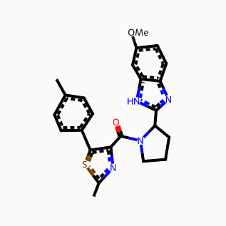 COc1ccc2nc(C3CCCN3C(=O)c3nc(C)sc3-c3ccc(C)cc3)[nH]c2c1